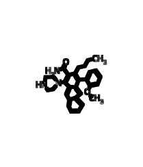 CCCCc1c(C(N)=O)c(N2CCNCC2)c2cc3ccccc3cc2c1-c1ccccc1OC